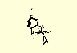 O=S(=O)(Nc1cc(F)ccc1F)C1CC1